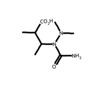 CC(C(=O)O)C(C)N(C(N)=O)N(C)C